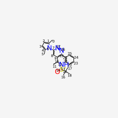 Cc1ccc(C)n1-c1cc([C@H](C)N[S@+]([O-])C(C)(C)C)c(-c2ccccc2)nn1